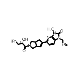 CC(C)C[C@H](O)C(=O)N1CC2C=C(c3ccc4c(n3)n(C)c(=O)n4CC(C)(C)C)CC2C1